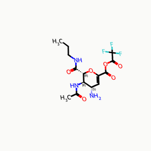 CCCNC(=O)[C@@H]1OC(C(=O)OC(=O)C(F)(F)F)=C[C@H](N)[C@H]1NC(C)=O